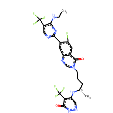 CCNc1nc(-c2cc3ncn(CCC[C@H](C)Nc4cn[nH]c(=O)c4C(F)(F)F)c(=O)c3cc2F)ncc1C(F)(F)F